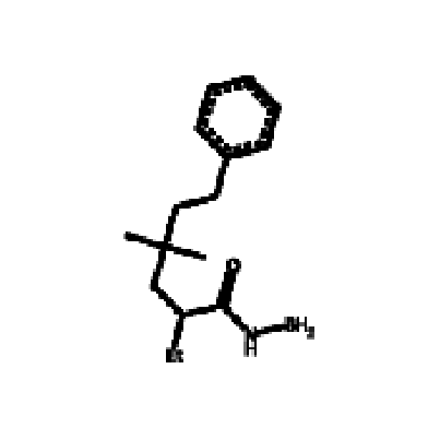 BNC(=O)C(CC)CC(C)(C)CCc1ccccc1